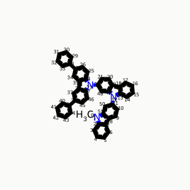 Cn1c2ccccc2c2ccc(-n3c4ccccc4c4ccc(-n5c6ccc(-c7ccccc7)cc6c6cc(-c7ccccc7)ccc65)cc43)cc21